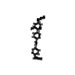 CCCCCc1ccc(C#Cc2ccc(-c3ncc(N=C=S)cc3F)cc2)cc1